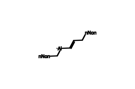 CCCCCCCCCCC=[CH][Al][CH2]CCCCCCCCC